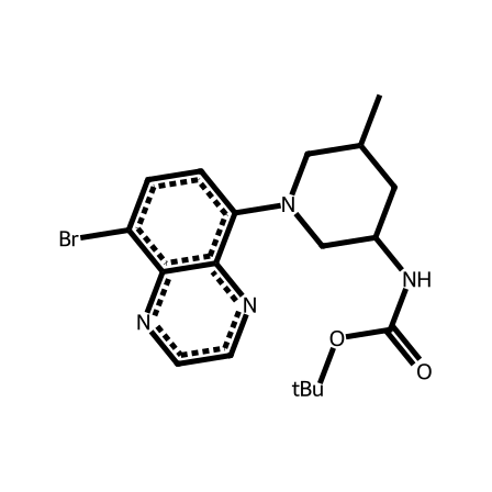 CC1CC(NC(=O)OC(C)(C)C)CN(c2ccc(Br)c3nccnc23)C1